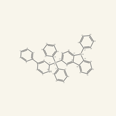 C1=CC(c2ccccc2)=CC([Si](c2ccccc2)(c2ccccc2)c2ccc3c(c2)c2ccccc2n3-c2ccccc2)N1